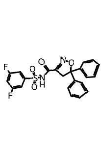 O=C(NS(=O)(=O)c1cc(F)cc(F)c1)C1=NOC(c2ccccc2)(c2ccccc2)C1